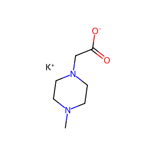 CN1CCN(CC(=O)[O-])CC1.[K+]